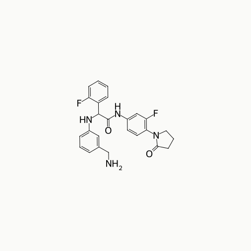 NCc1cccc(NC(C(=O)Nc2ccc(N3CCCC3=O)c(F)c2)c2ccccc2F)c1